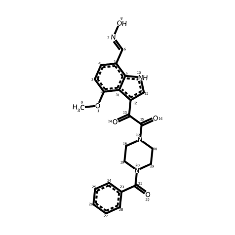 COc1ccc(C=NO)c2[nH]cc(C(=O)C(=O)N3CCN(C(=O)c4ccccc4)CC3)c12